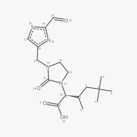 CC(CC(C)(C)C)[C@@H](C(=O)O)N1CCN(Cc2csc(C=O)n2)C1=O